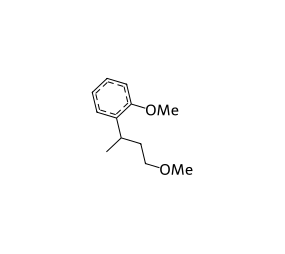 COCCC(C)c1ccccc1OC